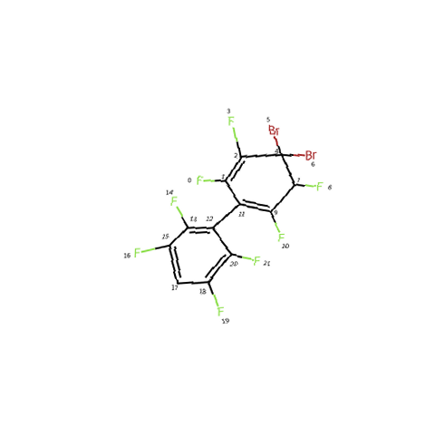 FC1=C(F)C(Br)(Br)C(F)C(F)=C1c1c(F)c(F)cc(F)c1F